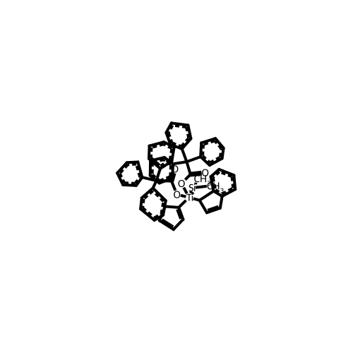 C[Si](C)=[Ti]([O]C(=O)C(c1ccccc1)(c1ccccc1)c1ccccc1)([O]C(=O)C(c1ccccc1)(c1ccccc1)c1ccccc1)([C]1=CC=CC1)[CH]1C=Cc2ccccc21